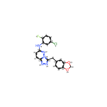 Fc1ccc(Cl)cc1Nc1ccc2nnc(Cc3ccc4c(c3)OCO4)n2n1